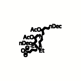 CCCCCCCCCCCCC(CN(CCC[N+](CC)(CC)CCCS(=O)(=O)[O-])CC(CCCCCCCCCCCC)OC(C)=O)OC(C)=O